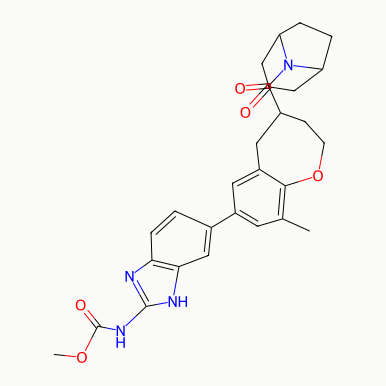 COC(=O)Nc1nc2ccc(-c3cc(C)c4c(c3)CC(C(=O)N3C5CCC3CC(=O)C5)CCO4)cc2[nH]1